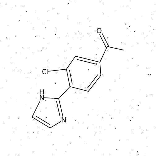 CC(=O)c1ccc(-c2ncc[nH]2)c(Cl)c1